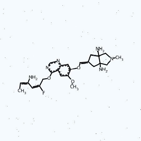 C/C=C(N)\C=C(\F)COc1ncnc2cc(OC=C3CC4(N)CN(C)CC4(N)C3)c(OC)cc12